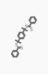 CC(C)(SC(=S)c1ccccc1)c1ccc(C(C)(C)SC(=S)c2ccccc2)cc1